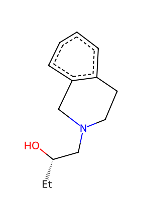 CC[C@H](O)CN1CCc2ccccc2C1